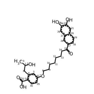 CC(O)Cc1cc(OCCCCCCCC(=O)c2ccc3cc(O)c(O)cc3c2)ccc1C(=O)O